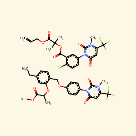 C=CCOC(=O)C(C)(C)OC(=O)c1cc(-n2c(=O)cc(C(F)(F)F)n(C)c2=O)ccc1Cl.CCc1ccc(COc2ccc(-n3c(=O)cc(C(F)(F)F)n(C)c3=O)cc2)c(OC(C)C(=O)OC)c1